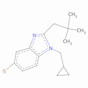 CC(C)(C)Cc1nc2cc([S])ccc2n1CC1CC1